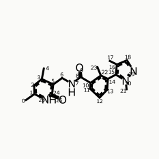 Cc1cc(C)c(CNC(=O)c2cccc(-c3c(C)cnn3C)c2C)c(=O)[nH]1